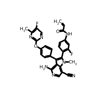 C=CC(=O)Nc1ccc(-c2c(-c3ccc(Oc4ncc(F)c(C)n4)cc3)c3c(N)ncc(C#N)c3n2C)c(F)c1